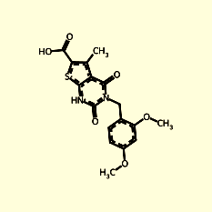 COc1ccc(Cn2c(=O)[nH]c3sc(C(=O)O)c(C)c3c2=O)c(OC)c1